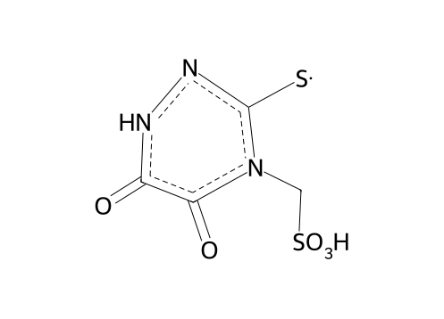 O=c1[nH]nc([S])n(CS(=O)(=O)O)c1=O